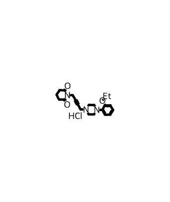 CCOc1ccccc1N1CCN(CC#CCN2C(=O)CCCC2=O)CC1.Cl